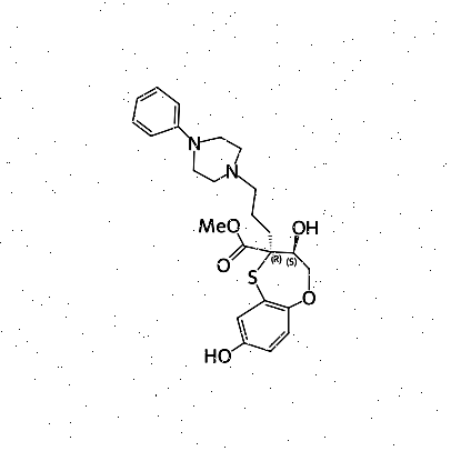 COC(=O)[C@]1(CCCN2CCN(c3ccccc3)CC2)Sc2cc(O)ccc2OC[C@@H]1O